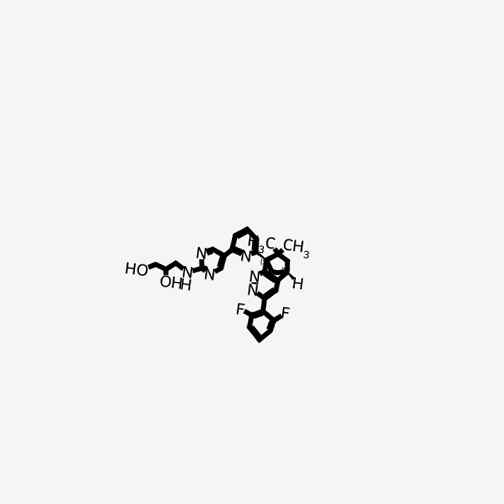 CC1(C)C[C@H]2CC[C@]1(c1cccc(-c3cnc(NCC(O)CO)nc3)n1)c1nnc(-c3c(F)cccc3F)cc12